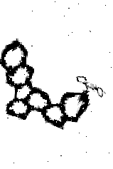 O=[N+]([O-])c1ccc2ccc3c4cccc5c4c(cc3c2c1)-c1cc2ccccc2cc1-5